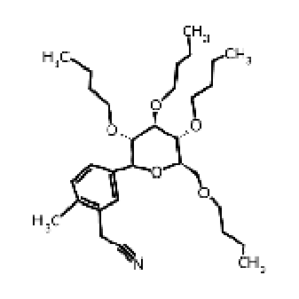 CCCCOC[C@H]1OC(c2ccc(C)c(CC#N)c2)[C@H](OCCCC)[C@@H](OCCCC)[C@@H]1OCCCC